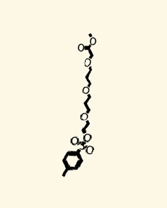 COC(=O)COCCCOCCCOCCOS(=O)(=O)c1ccc(C)cc1